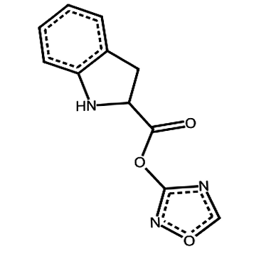 O=C(Oc1ncon1)C1Cc2ccccc2N1